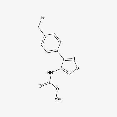 CC(C)(C)OC(=O)Nc1conc1-c1ccc(CBr)cc1